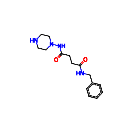 O=C(CCC(=O)NN1CCNCC1)NCc1ccccc1